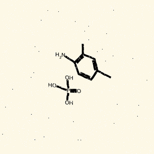 Cc1ccc(N)c(C)c1.O=P(O)(O)O